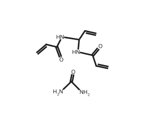 C=CC(=O)NC(C=C)NC(=O)C=C.NC(N)=O